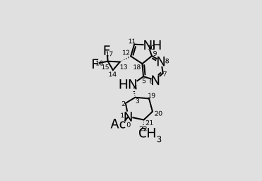 CC(=O)N1C[C@H](Nc2ncnc3[nH]cc([C@@H]4CC4(F)F)c23)CC[C@@H]1C